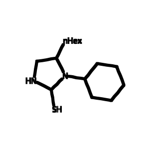 CCCCCCC1CNC(S)N1C1CCCCC1